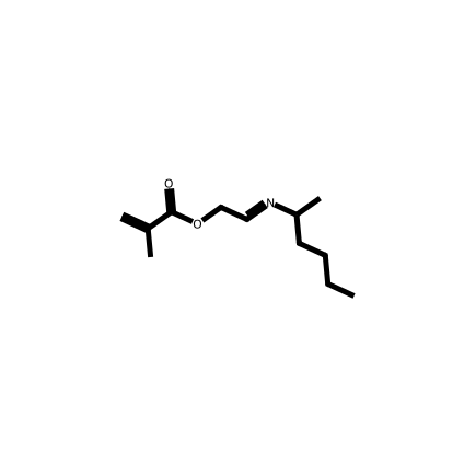 C=C(C)C(=O)OCC=NC(C)CCCC